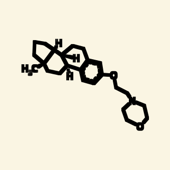 C[C@@]12CCC[C@H]1[C@@H]1CCc3cc(OCCN4CCOCC4)ccc3[C@H]1CC2